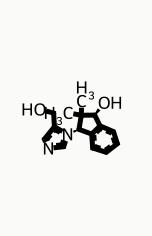 CC1(C)[C@@H](n2cncc2CO)c2ccccc2[C@@H]1O